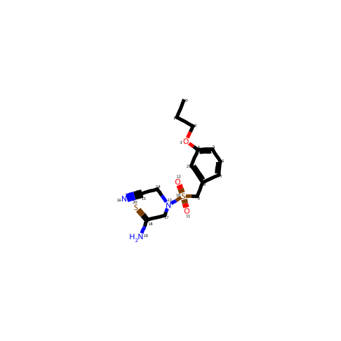 CCCOc1cccc(CS(=O)(=O)N(CC#N)CC(N)=S)c1